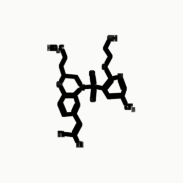 CCC(=Cc1ccc2c(c1)N(S(=O)(=O)c1cc(C(F)(F)F)cnc1OCCO)CC(CCC(=O)O)O2)CC